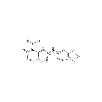 CCC(CC)n1c(=O)ccc2cnc(Nc3ccc4c(c3)CCC4)nc21